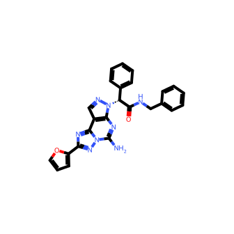 Nc1nc2c(cnn2[C@@H](C(=O)NCc2ccccc2)c2ccccc2)c2nc(-c3ccco3)nn12